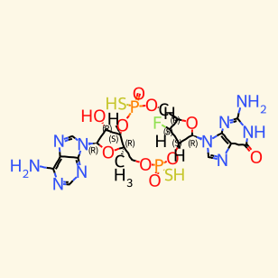 C[C@@]12COP(=O)(S)O[C@@H]3[C@@H](F)[C@@H](COP(=O)(S)O[C@H]1[C@@H](O)[C@H](n1cnc4c(N)ncnc41)O2)O[C@H]3n1cnc2c(=O)[nH]c(N)nc21